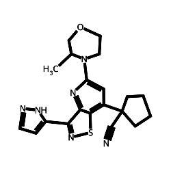 CC1COCCN1c1cc(C2(C#N)CCCC2)c2snc(-c3ccn[nH]3)c2n1